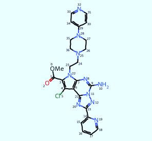 COC(=O)c1c(Cl)c2c(nc(N)n3nc(-c4ccccn4)nc23)n1CCN1CCN(c2ccncc2)CC1